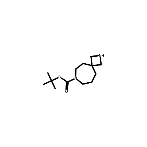 CC(C)(C)OC(=O)N1CCCC2(CC1)CNC2